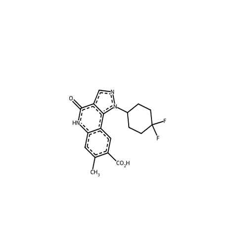 Cc1cc2[nH]c(=O)c3cnn(C4CCC(F)(F)CC4)c3c2cc1C(=O)O